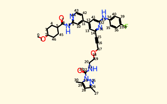 COC1CCC(C(=O)Nc2cc(-c3cc(C#CCOCCNC(=O)n4nc(C)cc4C)nc(Nc4ccc(F)cc4)c3)ccn2)CC1